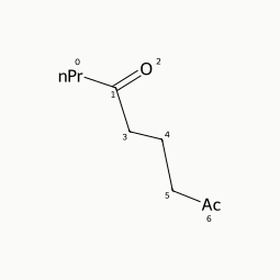 CCCC(=O)CCCC(C)=O